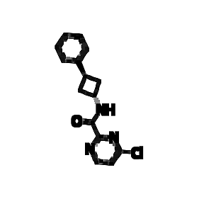 O=C(N[C@H]1C[C@H](c2ccccc2)C1)c1nccc(Cl)n1